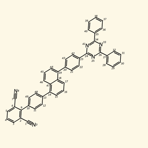 N#Cc1cccc(C#N)c1-c1ccc(-c2cccc3c(-c4ccc(-c5nc(-c6ccccc6)nc(-c6ccccc6)n5)cc4)cccc23)cc1